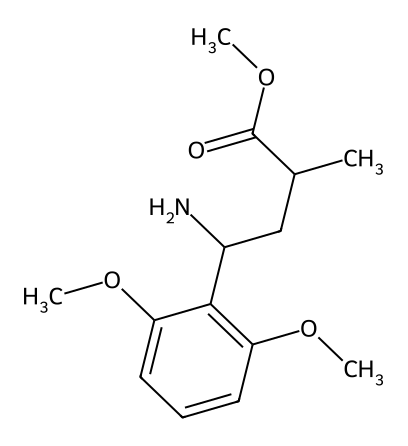 COC(=O)C(C)CC(N)c1c(OC)cccc1OC